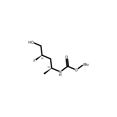 C[C@@H](C[C@@H](F)CO)NC(=O)OC(C)(C)C